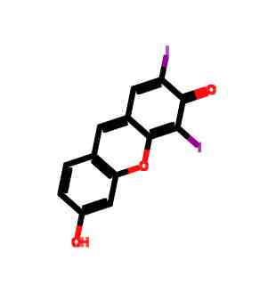 O=c1c(I)cc2cc3ccc(O)cc3oc-2c1I